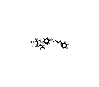 C[C@@](N)(CO)CN(C(=O)C(F)(F)F)c1ccc(OCCCCc2ccccc2)cc1